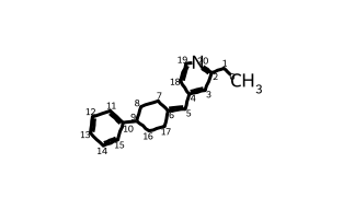 CCc1cc(C=C2CCC(c3ccccc3)CC2)ccn1